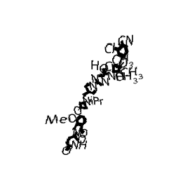 COc1c(O[C@H]2C[C@H](N(CC3CCN(c4cnc(C(=O)N[C@H]5C(C)(C)[C@H](Oc6ccc(C#N)c(Cl)c6)C5(C)C)cn4)CC3)C(C)C)C2)ccc2c1CN(C1CCC(=O)NC1=O)C2=O